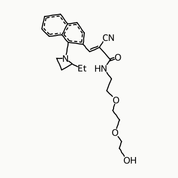 CCC1CCN1c1c(/C=C(\C#N)C(=O)NCCOCCOCCO)ccc2ccccc12